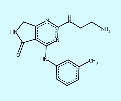 Cc1cccc(Nc2nc(NCCN)nc3c2C(=O)NC3)c1